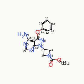 CC(C)(C)OC(=O)N1CC(n2nc(Oc3ccccc3)c3c(N)ncnc32)C1